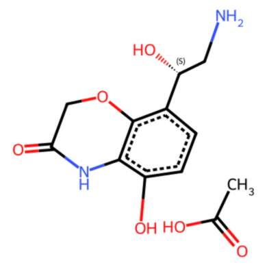 CC(=O)O.NC[C@@H](O)c1ccc(O)c2c1OCC(=O)N2